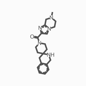 CN1CCn2cc(C(=O)N3CCC4(CC3)Cc3ccccc3CN4)nc2C1